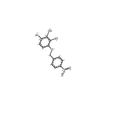 CCc1c(OCc2[c]cc([SH](=O)=O)cc2)ccc(C(C)=O)c1O